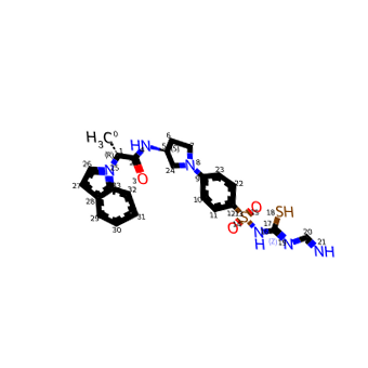 C[C@H](C(=O)N[C@H]1CCN(c2ccc(S(=O)(=O)N/C(S)=N/C=N)cc2)C1)n1ccc2ccccc21